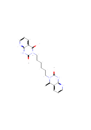 C=C1c2cccnc2NC(=O)N1CCCCCCn1c(=O)[nH]c2ncccc2c1=O